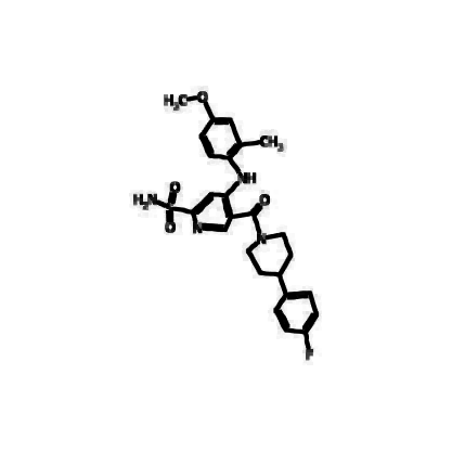 COc1ccc(Nc2cc(S(N)(=O)=O)ncc2C(=O)N2CCC(c3ccc(F)cc3)CC2)c(C)c1